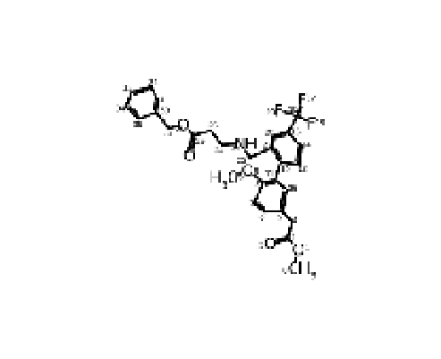 COC(=O)Cc1ccc(OC)c(-c2ccc(C(F)(F)F)cc2CNCCC(=O)OCc2ccccc2)c1